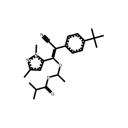 Cc1cc(/C(OC(C)OC(=O)C(C)C)=C(\C#N)c2ccc(C(C)(C)C)cc2)n(C)n1